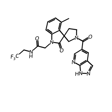 Cc1cccc2c1C1(CCN(C(=O)c3cnc4[nH]ncc4c3)C1)C(=O)N2CC(=O)NCC(F)(F)F